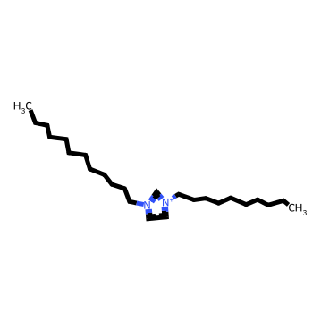 CCCCCCCCCCCCn1cc[n+](CCCCCCCCCC)c1